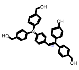 OCc1ccc(/C(=C/c2ccc(N(c3ccc(CO)cc3)c3ccc(CO)cc3)cc2)c2ccc(O)cc2)cc1